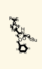 CC(C)(C)OC(=O)N[C@@H](COCc1ccccc1)c1nnn(C(F)F)n1